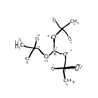 CC(Cl)(Cl)O[SiH](OC(C)(Cl)Cl)OC(C)(Cl)Cl